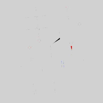 COC(=O)CC[C@H](O[Si](C)(C)C(C)(C)C)C(N[S@@+]([O-])C(C)(C)C)C(c1cccc(C)c1)[S@@+]([O-])C(C)(C)C